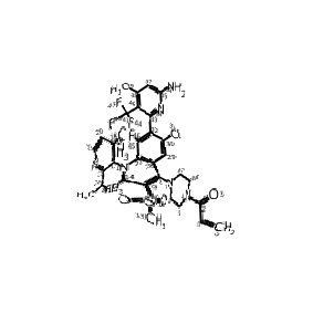 C=CC(=O)N1CCN(C2=C(S(C)(=O)=O)C(O)N(c3c(C)ccnc3C(C)C)c3c2cc(Cl)c(-c2nc(N)cc(C)c2C(F)(F)F)c3F)CC1